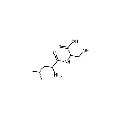 CC(C)CC(N)C(=O)NC(CO)C(=O)O